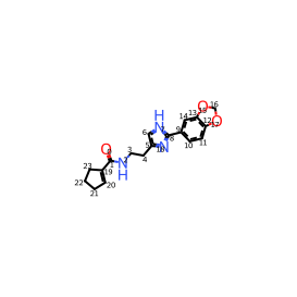 O=C(NCCc1c[nH]c(-c2ccc3c(c2)OCO3)n1)C1=CCCC1